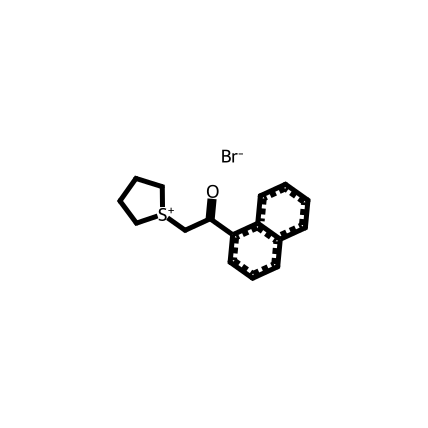 O=C(C[S+]1CCCC1)c1cccc2ccccc12.[Br-]